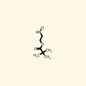 CC(C)(C)C(=O)OCCNCl